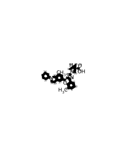 Cc1cc(COc2c(C)cccc2-c2csc(N3C[C@@H]4C[C@]4(C(=O)O)C3)n2)cc2c1CN(C1CCCCC1)CC2